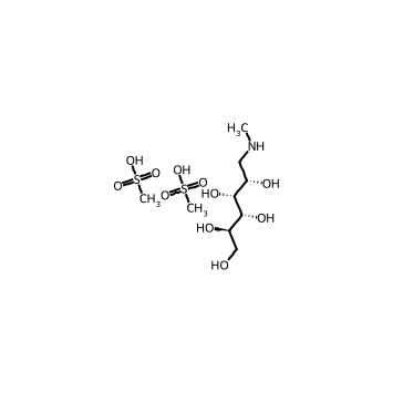 CNC[C@H](O)[C@@H](O)[C@H](O)[C@H](O)CO.CS(=O)(=O)O.CS(=O)(=O)O